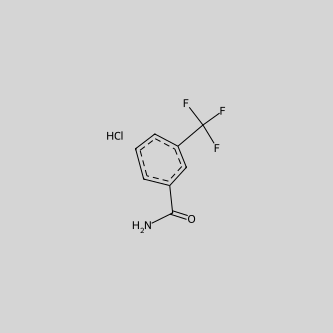 Cl.NC(=O)c1cccc(C(F)(F)F)c1